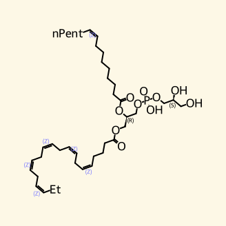 CC/C=C\C/C=C\C/C=C\C/C=C\C/C=C\CCCC(=O)OC[C@H](COP(=O)(O)OC[C@@H](O)CO)OC(=O)CCCCCCC/C=C\CCCCC